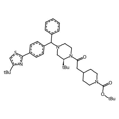 CC(C)(C)OC(=O)N1CCC(CC(=O)N2CCN(C(c3ccccc3)c3ccc(-c4nc(C(C)(C)C)cs4)cc3)C[C@@H]2C(C)(C)C)CC1